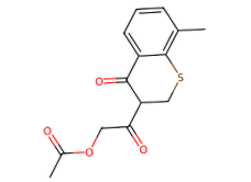 CC(=O)OCC(=O)C1CSc2c(C)cccc2C1=O